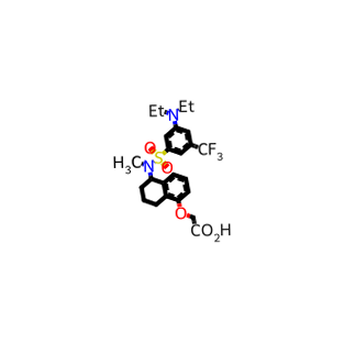 CCN(CC)c1cc(C(F)(F)F)cc(S(=O)(=O)N(C)C2CCCc3c(OCC(=O)O)cccc32)c1